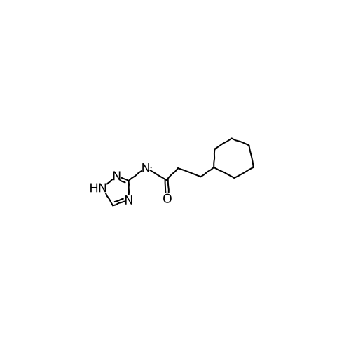 O=C(CCC1CCCCC1)[N]c1nc[nH]n1